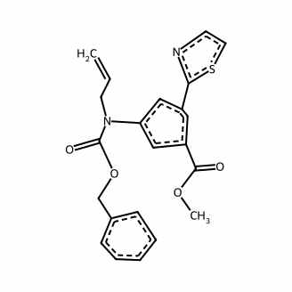 C=CCN(C(=O)OCc1ccccc1)c1cc(C(=O)OC)cc(-c2nccs2)c1